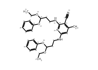 CCOC(CCNc1cc(C)c(C#N)c(NCCC(OCC)Oc2ccccc2)n1)Oc1ccccc1